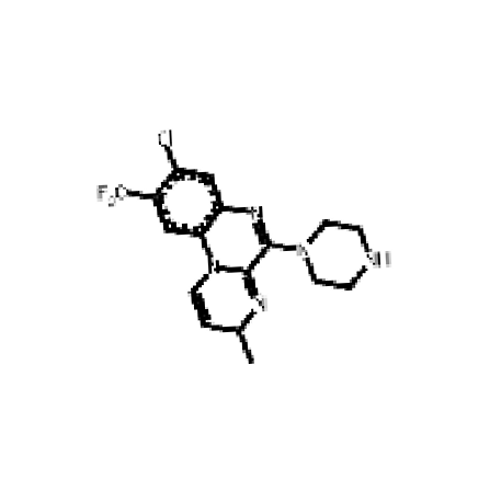 CC1C=CN2C(=N1)C(N1CCNCC1)=Nc1cc(Cl)c(C(F)(F)F)cc12